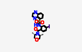 C[C@@H]1COC[C@H](C)N1C(=O)c1ccc(I)cc1NS(=O)(=O)c1cccc2nccnc12